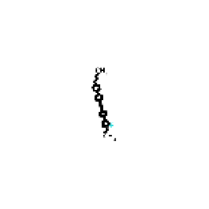 CCCCCC1CCC(C2CC=C(C#Cc3ccc(-c4ccc(CCC)c(F)c4)cc3)CC2)CC1